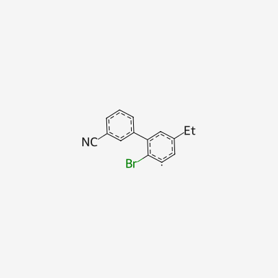 CCc1c[c]c(Br)c(-c2cccc(C#N)c2)c1